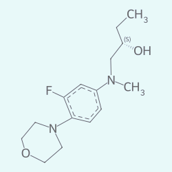 CC[C@H](O)CN(C)c1ccc(N2CCOCC2)c(F)c1